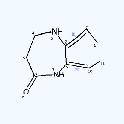 C/C=C1/NCCC(=O)N/C1=C/C